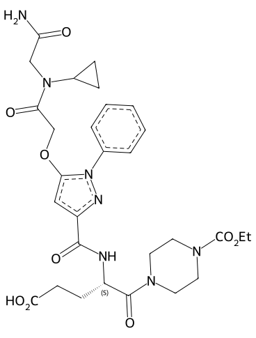 CCOC(=O)N1CCN(C(=O)[C@H](CCC(=O)O)NC(=O)c2cc(OCC(=O)N(CC(N)=O)C3CC3)n(-c3ccccc3)n2)CC1